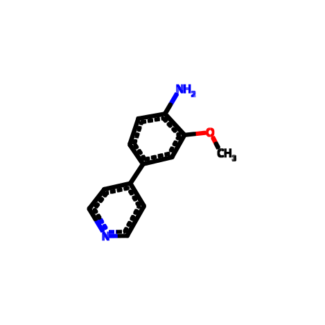 COc1cc(-c2ccncc2)ccc1N